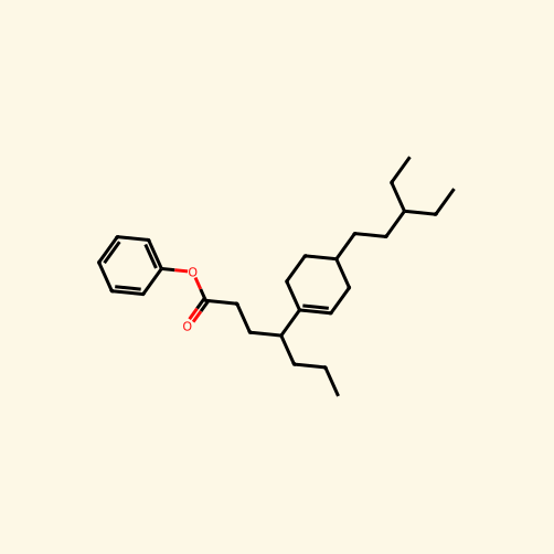 CCCC(CCC(=O)Oc1ccccc1)C1=CCC(CCC(CC)CC)CC1